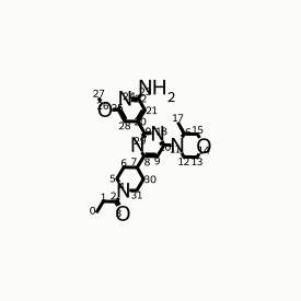 CCC(=O)N1CCC(c2cc(N3CCOCC3C)nc(-c3cc(N)nc(OC)c3)n2)CC1